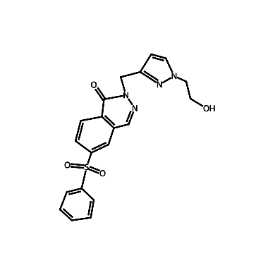 O=c1c2ccc(S(=O)(=O)c3ccccc3)cc2cnn1Cc1ccn(CCO)n1